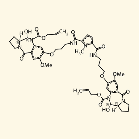 C=CCOC(=O)N1c2cc(OCCCNC(=O)c3ccc(C(=O)NCCCOc4cc5c(cc4OC)C(=O)N4CCC[C@H]4[C@H](O)N5C(=O)OCC=C)n3C)c(OC)cc2C(=O)N2CCC[C@H]2[C@@H]1O